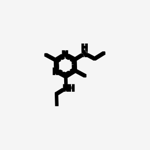 CCNc1nc(C)nc(NCC)c1C